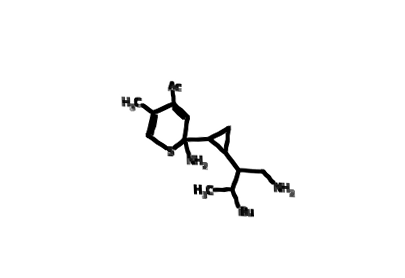 CCC(C)C(C)C(CN)C1CC1C1(N)C=C(C(C)=O)C(C)=CS1